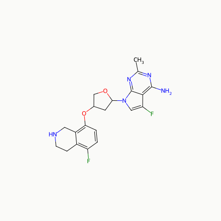 Cc1nc(N)c2c(F)cn(C3CC(Oc4ccc(F)c5c4CNCC5)CO3)c2n1